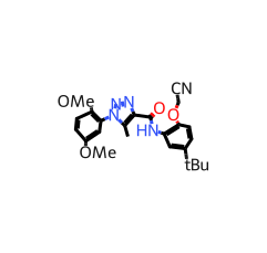 COc1ccc(OC)c(-n2nnc(C(=O)Nc3cc(C(C)(C)C)ccc3OCC#N)c2C)c1